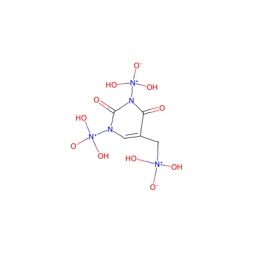 O=c1c(C[N+]([O-])(O)O)cn([N+]([O-])(O)O)c(=O)n1[N+]([O-])(O)O